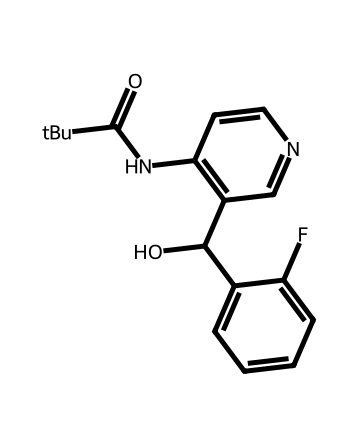 CC(C)(C)C(=O)Nc1ccncc1C(O)c1ccccc1F